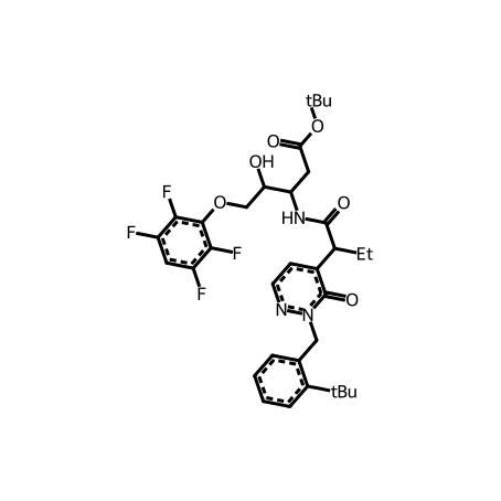 CCC(C(=O)NC(CC(=O)OC(C)(C)C)C(O)COc1c(F)c(F)cc(F)c1F)c1ccnn(Cc2ccccc2C(C)(C)C)c1=O